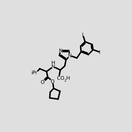 CC(C)CC(NC(Cc1cncn1Cc1cc(I)cc(I)c1)C(=O)O)C(=O)OC1CCCC1